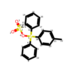 CCS(=O)(=O)OS(c1ccccc1)(c1ccccc1)c1ccc(C)cc1